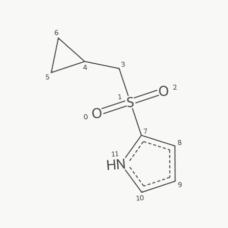 O=S(=O)(CC1CC1)c1ccc[nH]1